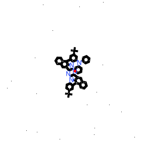 CC(C)(C)c1ccc2c(c1)c1c3ccccc3cc3c4nc5c(nc4n2c31)c1cc2ccccc2c2c3cc(C(C)(C)C)cc(N(c4ccccc4)c4ccccc4)c3n5c12